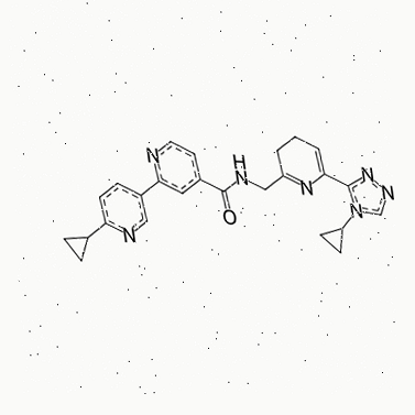 O=C(NCC1=NC(c2nncn2C2CC2)=CCC1)c1ccnc(-c2ccc(C3CC3)nc2)c1